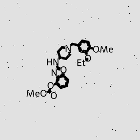 CCOc1cc(CN2CCC(Nc3nc4c(OC(=O)OC)cccc4o3)CC2)ccc1OC